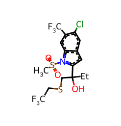 CCC(O)(CSCC(F)(F)F)c1cc2cc(Cl)c(C(F)(F)F)cc2n1S(C)(=O)=O